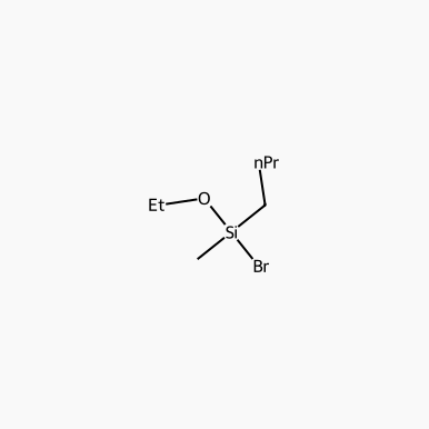 CCCC[Si](C)(Br)OCC